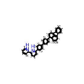 C1=CNC(C2=CC=CC(c3ccc(-c4ccc(-c5ccc6c7c(cccc57)-c5ccccc5-6)cc4)cc3)N2)C=C1